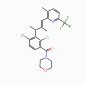 C/C(=C\c1nc(C(F)(F)F)ccc1C)C(C)c1c(Cl)ccc(C(=O)N2CCOCC2)c1Cl